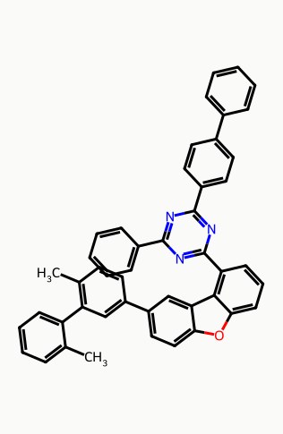 Cc1ccccc1-c1cc(-c2ccc3oc4cccc(-c5nc(-c6ccccc6)nc(-c6ccc(-c7ccccc7)cc6)n5)c4c3c2)ccc1C